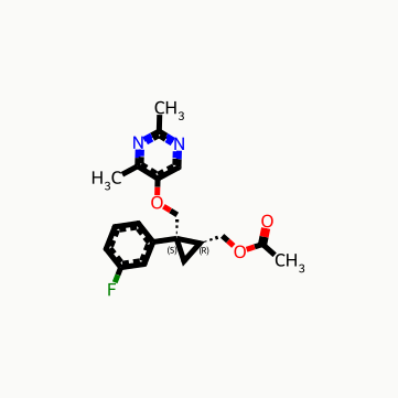 CC(=O)OC[C@@H]1C[C@@]1(COc1cnc(C)nc1C)c1cccc(F)c1